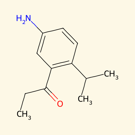 CCC(=O)c1cc(N)ccc1C(C)C